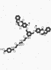 COc1cc2c(cc1OCc1cc(COc3cc4c(cc3OC)C(=O)N3c5ccccc5C[C@H]3CN4)cc(NC(=O)CNC(=O)CNC(=O)CNC(=O)C3CCC(C(=O)O)CC3)c1)N=C[C@@H]1Cc3ccccc3N1C2=O